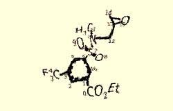 CCOC(=O)c1cc(C(F)(F)F)cc(S(=O)(=O)N(C)CC2CO2)c1